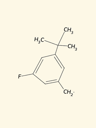 [CH2]c1cc(F)cc(C(C)(C)C)c1